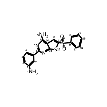 Nc1cccc(-c2nc(N)c3cc(S(=O)(=O)c4ccccc4)sc3n2)c1